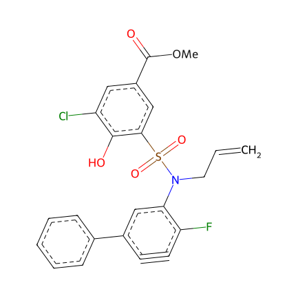 C=CCN(c1cc(-c2ccccc2)c#cc1F)S(=O)(=O)c1cc(C(=O)OC)cc(Cl)c1O